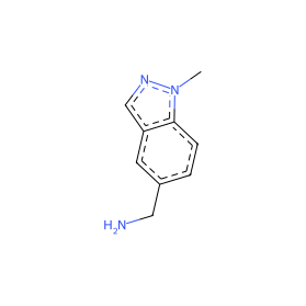 Cn1ncc2cc(CN)ccc21